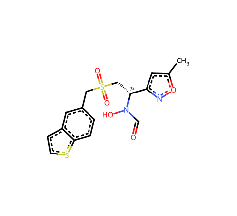 Cc1cc([C@@H](CS(=O)(=O)Cc2ccc3sccc3c2)N(O)C=O)no1